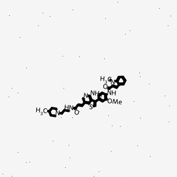 COc1cc(-c2csc3c(C=CC(=O)NCCCN4CCC(C)CC4)cnc(N)c23)ccc1NC(=O)c1cc2ccccc2n1C